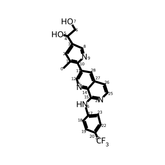 Cc1cc(C(O)CO)cnc1-c1cnc2c(Nc3ccc(C(F)(F)F)cc3)nccc2c1